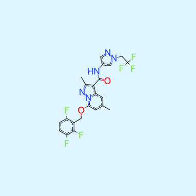 Cc1cc(OCc2c(F)ccc(F)c2F)n2nc(C)c(C(=O)Nc3cnn(CC(F)(F)F)c3)c2c1